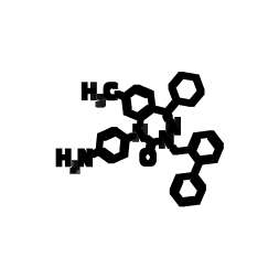 Cc1ccc2c(c1)N(c1ccc(N)cc1)C(=O)N(Cc1ccccc1-c1ccccc1)N=C2C1CCCCC1